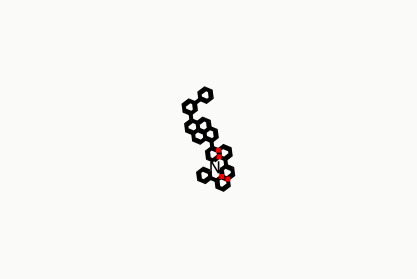 c1ccc(-c2cccc(-c3ccc4ccc5c(-c6ccc(N(c7ccccc7-c7ccccc7)c7ccccc7-c7ccccc7)cc6)ccc6ccc3c4c65)c2)cc1